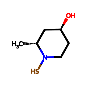 C[C@@H]1C[C@@H](O)CCN1S